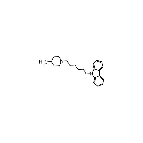 CC1CCN(CCCCCCn2c3ccccc3c3ccccc32)CC1